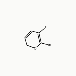 FC1=C(Br)OCC=C1